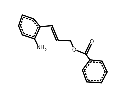 Nc1ccccc1C=CCOC(=O)c1ccccc1